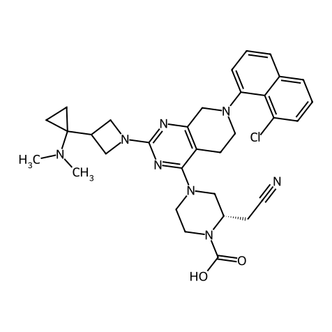 CN(C)C1(C2CN(c3nc4c(c(N5CCN(C(=O)O)[C@@H](CC#N)C5)n3)CCN(c3cccc5cccc(Cl)c35)C4)C2)CC1